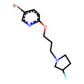 FC1CCN(CCCOc2ccc(Br)cn2)C1